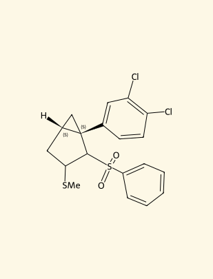 CSC1C[C@@H]2C[C@]2(c2ccc(Cl)c(Cl)c2)C1S(=O)(=O)c1ccccc1